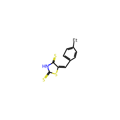 CCc1ccc(C=C2SC(=S)NC2=S)cc1